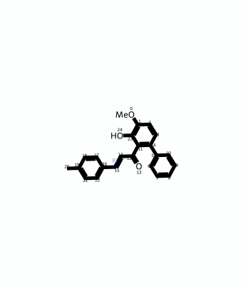 COc1ccc(-c2ccccc2)c(C(=O)/C=C/c2ccc(C)cc2)c1O